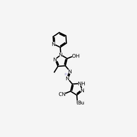 [C-]#[N+]c1c(C(C)(C)C)n[nH]c1/N=N/c1c(C)nn(-c2ccccn2)c1O